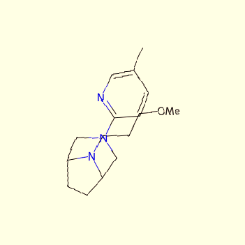 COCCCN1C2CCC1CN(c1ccc(C)cn1)C2